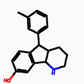 Cc1cccc(C2c3ccc(O)cc3C3NCCCC32)c1